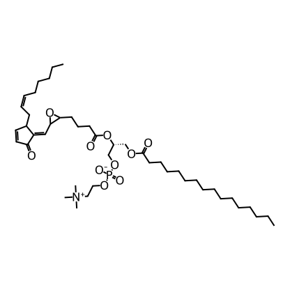 CCCCC/C=C\CC1C=CC(=O)/C1=C/C1OC1CCCC(=O)O[C@H](COC(=O)CCCCCCCCCCCCCCC)COP(=O)([O-])OCC[N+](C)(C)C